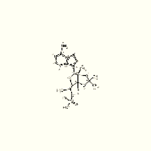 C[C@H](OP(=O)(O)O)[C@H]1O[C@@H](n2ccc3c(N)ncnc32)[C@]2(C)OC(C)(C)O[C@H]12